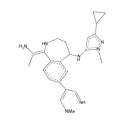 CN/C=C(\C=N)c1ccc2c(c1)C(Nc1cc(C3CC3)nn1C)CCN/C2=C(/C)N